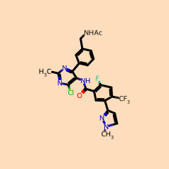 CC(=O)NCc1cccc(-c2nc(C)nc(Cl)c2NC(=O)c2cc(-c3ccn(C)n3)c(C(F)(F)F)cc2F)c1